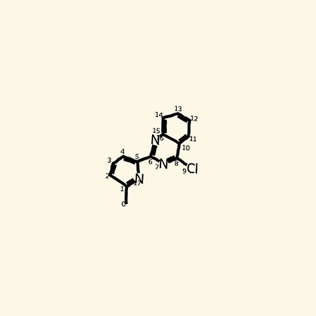 Cc1cccc(-c2nc(Cl)c3ccccc3n2)n1